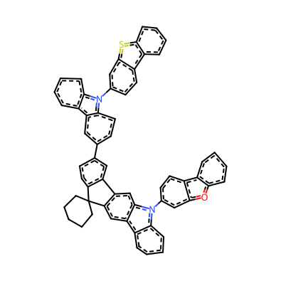 c1ccc2c(c1)oc1cc(-n3c4ccccc4c4cc5c(cc43)-c3cc(-c4ccc6c(c4)c4ccccc4n6-c4ccc6c(c4)sc4ccccc46)ccc3C53CCCCC3)ccc12